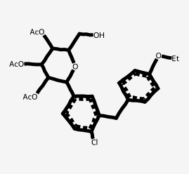 CCOc1ccc(Cc2cc(C3OC(CO)C(OC(C)=O)C(OC(C)=O)C3OC(C)=O)ccc2Cl)cc1